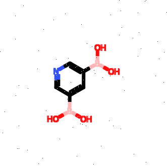 OB(O)c1cncc(B(O)O)c1